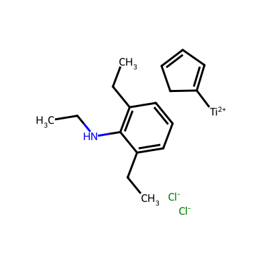 CCNc1c(CC)cccc1CC.[Cl-].[Cl-].[Ti+2][C]1=CC=CC1